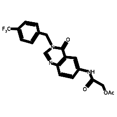 CC(=O)OCC(=O)Nc1ccc2ncn(Cc3ccc(C(F)(F)F)cc3)c(=O)c2c1